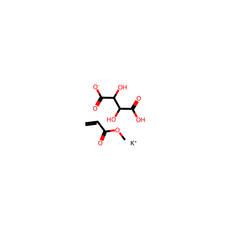 C=CC(=O)OC.O=C([O-])C(O)C(O)C(=O)O.[K+]